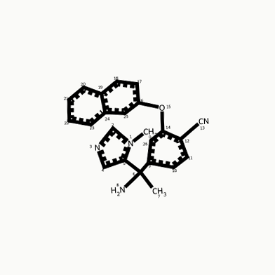 Cn1cncc1C(C)(N)c1ccc(C#N)c(Oc2ccc3ccccc3c2)c1